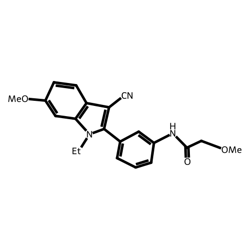 CCn1c(-c2cccc(NC(=O)COC)c2)c(C#N)c2ccc(OC)cc21